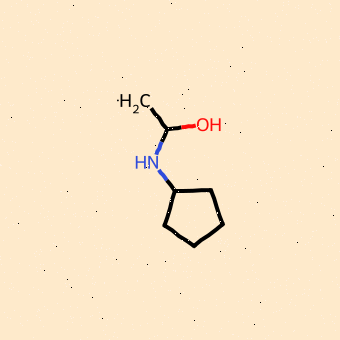 [CH2]C(O)NC1CCCC1